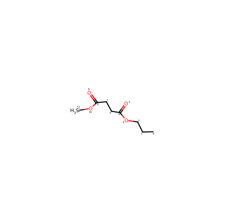 CCCOC(=O)CCC(=O)O[SiH3]